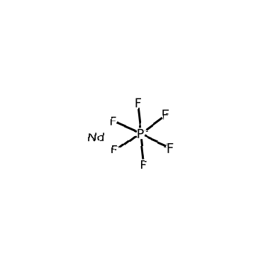 F[P-](F)(F)(F)(F)F.[Nd]